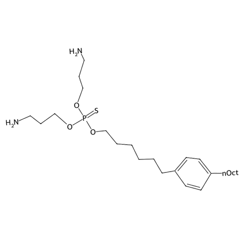 CCCCCCCCc1ccc(CCCCCCOP(=S)(OCCCN)OCCCN)cc1